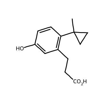 CC1(c2ccc(O)cc2CCC(=O)O)CC1